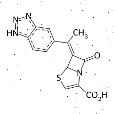 C/C(=C1\C(=O)N2C(C(=O)O)=CSC12)c1ccc2[nH]nnc2c1